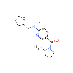 CC1CCCN1C(=O)c1ccc(N(C)CC2CCCO2)nc1